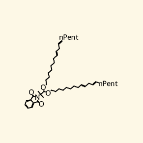 CCCCCC=CCC=CCCCCCCCCOC(OCCCCCCCCC=CCC=CCCCCC)C(C)(C)N1C(=O)c2ccccc2C1=O